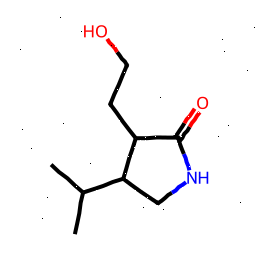 CC(C)C1CNC(=O)C1CCO